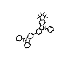 CC1(C)c2cc3c4cc(-c5ccc6c(c5)c5ccccc5n6-c5ccccc5)ccc4n(-c4ccccc4)c3cc2C(C)(C)C1(C)C